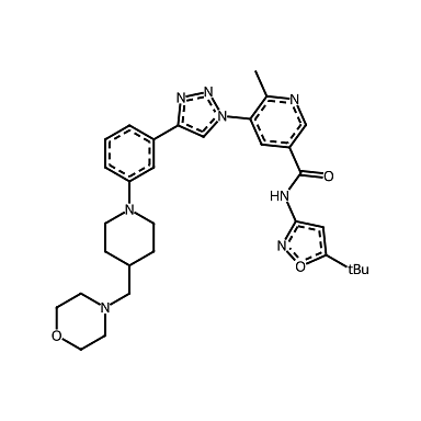 Cc1ncc(C(=O)Nc2cc(C(C)(C)C)on2)cc1-n1cc(-c2cccc(N3CCC(CN4CCOCC4)CC3)c2)nn1